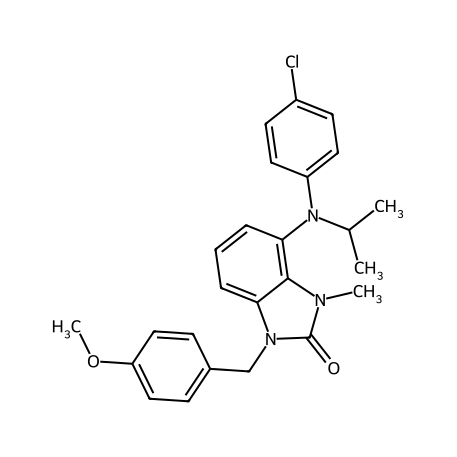 COc1ccc(Cn2c(=O)n(C)c3c(N(c4ccc(Cl)cc4)C(C)C)cccc32)cc1